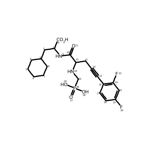 O=C(O)C(CC1CCCCC1)NC(=O)C(CC#Cc1ccc(F)cc1F)NCP(=O)(O)O